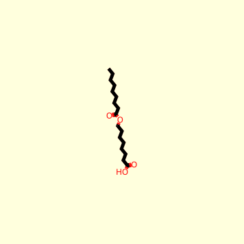 CCCCCCCCC(=O)OCCCCCCCC(=O)O